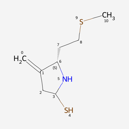 C=C1CC(S)N[C@H]1CCSC